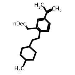 C=C(C)c1ccc(CCC2CCC(C)CC2)c(CCCCCCCCCCC)c1